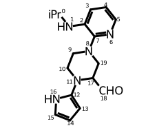 CC(C)Nc1cccnc1N1CCN(c2ccc[nH]2)C(C=O)C1